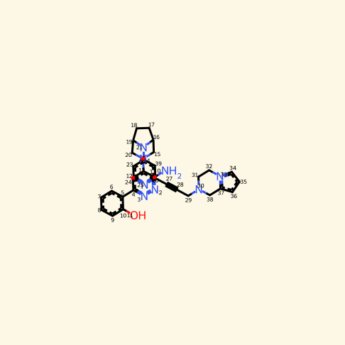 Nc1nnc(-c2ccccc2O)cc1N1CC2CCC(C1)N2c1ccnc(C#CCN2CCn3cccc3C2)c1